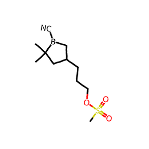 CC1(C)CC(CCCOS(C)(=O)=O)CB1C#N